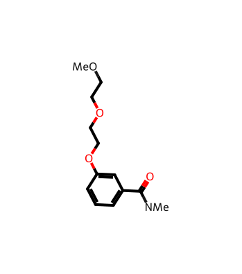 CNC(=O)c1cccc(OCCOCCOC)c1